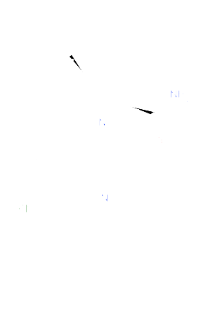 C[C@H]1C[C@@H](C(N)=O)[N+](CC#N)(c2ccc(Cl)c(-c3ccccc3)c2)C1